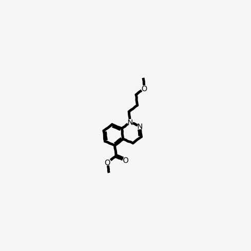 COCCCN1N=CCc2c(C(=O)OC)cccc21